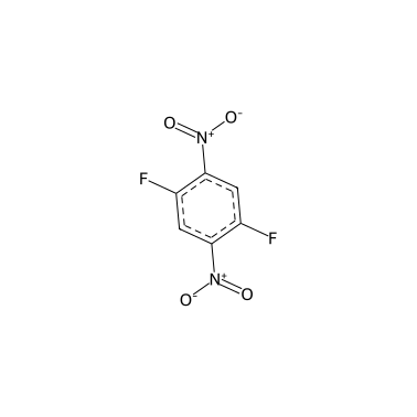 O=[N+]([O-])c1cc(F)c([N+](=O)[O-])cc1F